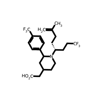 C=C(C)CC[C@H](CCC(F)(F)F)N1CCC(CC(=O)O)CC1c1ccc(C(F)(F)F)cc1